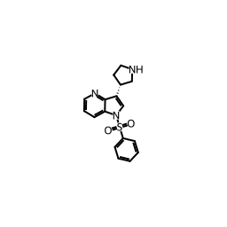 O=S(=O)(c1ccccc1)n1cc([C@@H]2CCNC2)c2ncccc21